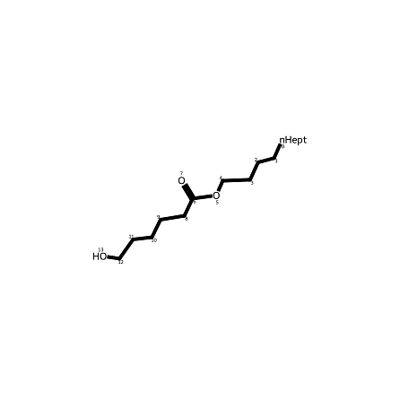 CCCCCCCCCCCOC(=O)CCCCCO